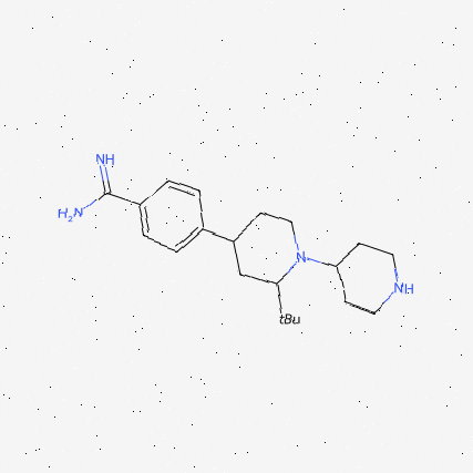 CC(C)(C)C1CC(c2ccc(C(=N)N)cc2)CCN1C1CCNCC1